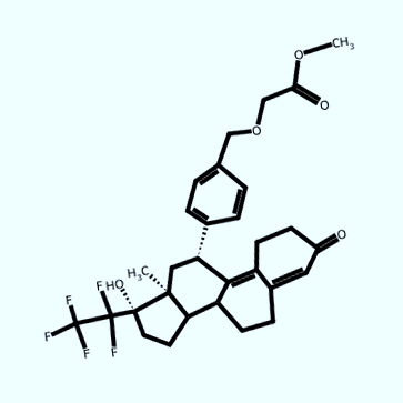 COC(=O)COCc1ccc([C@H]2C[C@@]3(C)C(CC[C@@]3(O)C(F)(F)C(F)(F)F)C3CCC4=CC(=O)CCC4=C32)cc1